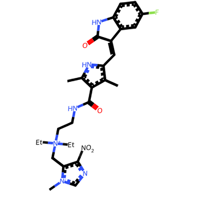 CC[N+](CC)(CCNC(=O)c1c(C)[nH]c(/C=C2\C(=O)Nc3ccc(F)cc32)c1C)Cc1c([N+](=O)[O-])ncn1C